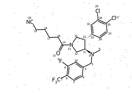 CN(Cc1ccc(C(F)(F)F)c(F)c1)[C@H]1CN(C(=O)CCCCC#N)C[C@@H]1c1ccc(Cl)c(Cl)c1